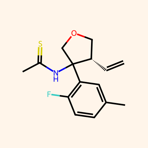 C=C[C@H]1COCC1(NC(C)=S)c1cc(C)ccc1F